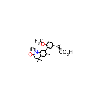 Cc1cc2c(cc1-c1cc(C3C[C@H]3C(=O)O)ccc1OC(F)(F)F)N(C(C)C)C(=O)CC2(C)C